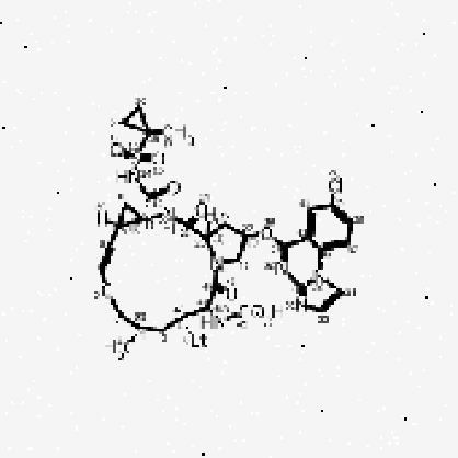 CC[C@@H]1C[C@H](C)CCC=C[C@@H]2C[C@@]2(C(=O)NS(=O)(=O)C2(C)CC2)NC(=O)[C@@H]2C[C@@H](Oc3nc4nccn4c4ccc(Cl)cc34)CN2C(=O)[C@H]1NC(=O)O